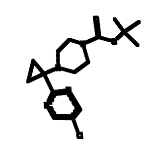 CC(C)(C)OC(=O)N1CCN(C2(c3ncc(Cl)cn3)CC2)CC1